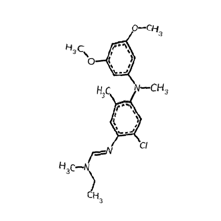 CCN(C)C=Nc1cc(C)c(N(C)c2cc(OC)cc(OC)c2)cc1Cl